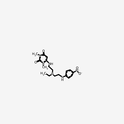 CCN(CCNc1ccc([N+](=O)[O-])cc1)CCNc1cc(=O)n(C)c(=O)n1C